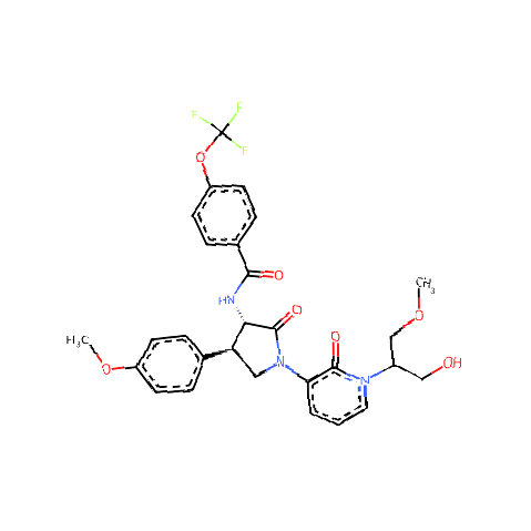 COCC(CO)n1cccc(N2C[C@@H](c3ccc(OC)cc3)[C@H](NC(=O)c3ccc(OC(F)(F)F)cc3)C2=O)c1=O